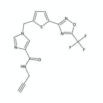 C#CCNC(=O)c1cn(Cc2ccc(-c3noc(C(F)(F)F)n3)s2)cn1